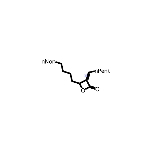 CCCCC/C=C1\C(=O)OC1CCCCCCCCCCCCC